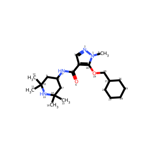 Cn1ncc(C(=O)NC2CC(C)(C)NC(C)(C)C2)c1OCC1CCCCC1